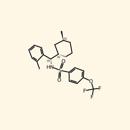 Cc1ccccc1[C@@H](NS(=O)(=O)c1ccc(OC(F)(F)F)cc1)[C@H]1CCC[C@H](C)C1